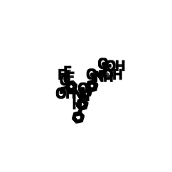 O=C(NC[C@@H](O)C(=O)O)c1ccc(CN(C(=O)Nc2ccc(OC(F)(F)F)c(CO)c2)c2ccc(C3=CCCCC3)cc2)cc1